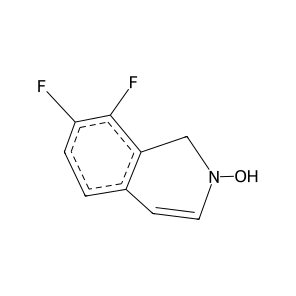 ON1C=Cc2ccc(F)c(F)c2C1